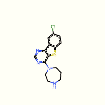 Clc1ccc2sc3c(N4CCCNCC4)ncnc3c2c1